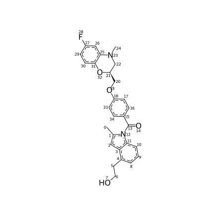 Cc1cc2c(CCO)cccc2n1C(=O)c1ccc(OC[C@@H]2CN(C)c3cc(F)ccc3O2)cc1